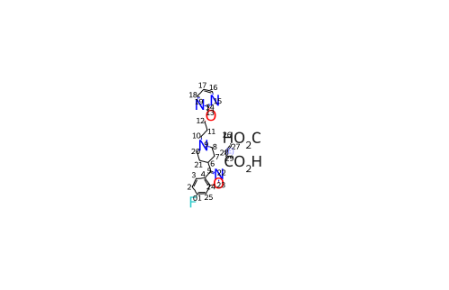 Fc1ccc2c(C3CCN(CCCOc4ncccn4)CC3)noc2c1.O=C(O)/C=C/C(=O)O